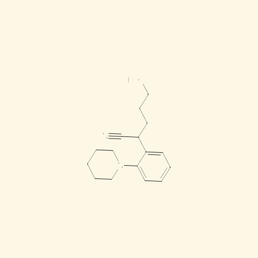 CCCCC(C#N)c1ccccc1N1CCCCC1